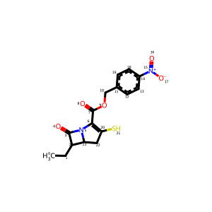 CCC1C(=O)N2C(C(=O)OCc3ccc([N+](=O)[O-])cc3)=C(S)CC12